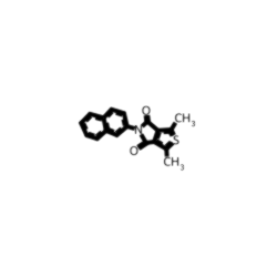 Cc1sc(C)c2c1C(=O)N(c1ccc3ccccc3c1)C2=O